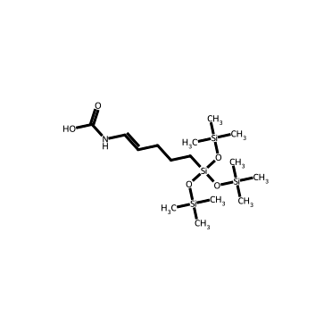 C[Si](C)(C)O[Si](CCCC=CNC(=O)O)(O[Si](C)(C)C)O[Si](C)(C)C